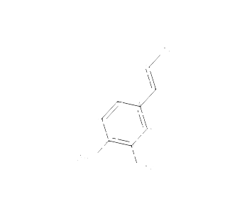 COc1ccc(/C=C/C(C)=O)cc1OC(C)=O